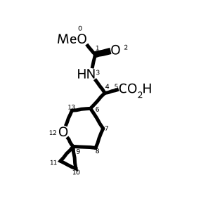 COC(=O)NC(C(=O)O)C1CCC2(CC2)OC1